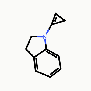 C1=C(N2CCc3ccccc32)C1